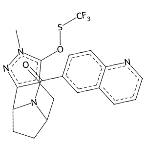 Cn1nc2c(c1OSC(F)(F)F)CC1CCC2N1C(=O)c1ccc2ncccc2c1